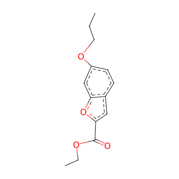 CCCOc1ccc2cc(C(=O)OCC)oc2c1